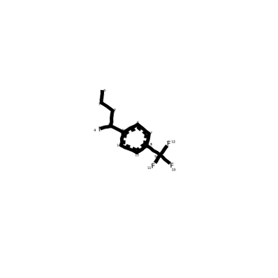 CCCC(I)c1ccc(C(F)(F)F)cc1